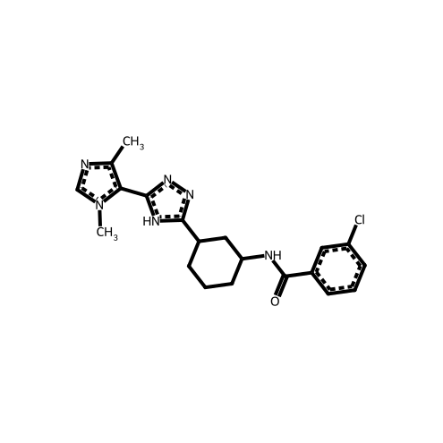 Cc1ncn(C)c1-c1nnc(C2CCCC(NC(=O)c3cccc(Cl)c3)C2)[nH]1